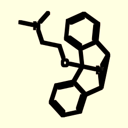 CN(C)CCOC12c3ccccc3C3C(c4ccccc41)N32